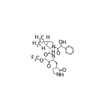 CC1(C)[C@@H]2[C@@H](C(=O)N[C@@H](C[C@@H]3CCNC3=O)C(=O)COC(F)(F)F)N(C(=O)[C@@H](O)c3ccccc3)C[C@@H]21